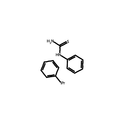 CC(C)c1ccccc1.NC(=S)Nc1ccccc1